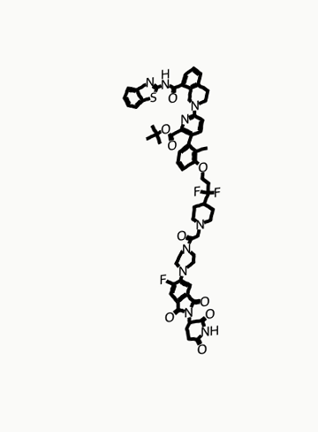 Cc1c(OCCC(F)(F)C2CCN(CC(=O)N3CCN(c4cc5c(cc4F)C(=O)N(C4CCC(=O)NC4=O)C5=O)CC3)CC2)cccc1-c1ccc(N2CCc3cccc(C(=O)Nc4nc5ccccc5s4)c3C2)nc1C(=O)OC(C)(C)C